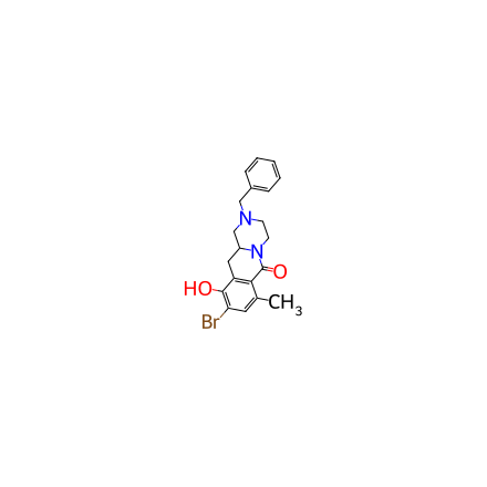 Cc1cc(Br)c(O)c2c1C(=O)N1CCN(Cc3ccccc3)CC1C2